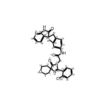 O=C(CN1C(=O)C2(CCOCC2)N=C1c1ccccc1Cl)Nc1ccc2c(c1)C[C@@]1(C2)C(=O)Nc2ncccc21